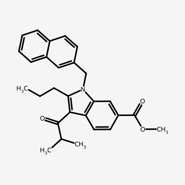 CCCc1c(C(=O)C(C)C)c2ccc(C(=O)OC)cc2n1Cc1ccc2ccccc2c1